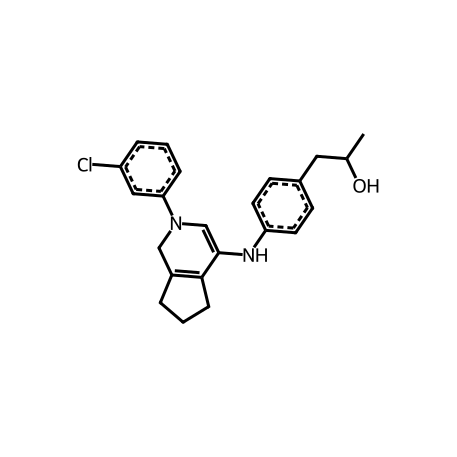 CC(O)Cc1ccc(NC2=CN(c3cccc(Cl)c3)CC3=C2CCC3)cc1